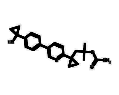 CC(C)(CC1(c2ccc(-c3ccc(C4(O)CC4)cc3)cn2)CC1)OC(N)=O